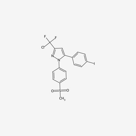 CS(=O)(=O)c1ccc(-n2nc(C(F)(F)Cl)cc2-c2ccc(I)cc2)cc1